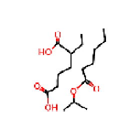 CCC(CCCC(=O)O)C(=O)O.CCCCCC(=O)OC(C)C